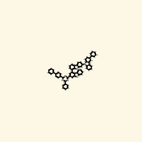 c1ccc(-c2ccc(-c3nc(-c4ccccc4)nc(-c4cc(-c5cccc6c5oc5cc(-n7c8ccccc8c8cc(-c9ccccc9)ccc87)ccc56)c5c(c4)oc4ccccc45)n3)cc2)cc1